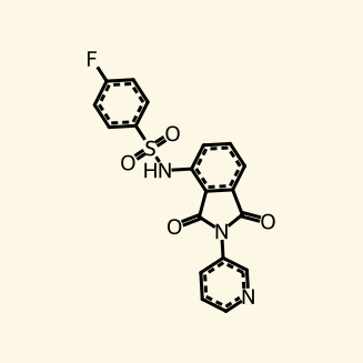 O=C1c2cccc(NS(=O)(=O)c3ccc(F)cc3)c2C(=O)N1c1cccnc1